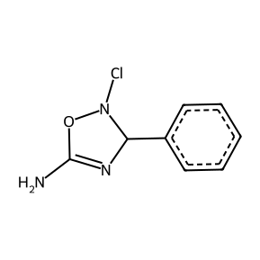 NC1=NC(c2ccccc2)N(Cl)O1